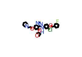 Fc1cccc(COc2ccc(Nc3ncnc4cc(OCCN5CCCCC5)cc(OC5CCOC5)c34)cc2Cl)c1